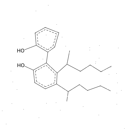 CCCCC(C)c1ccc(O)c(-c2ccccc2O)c1C(C)CCCC